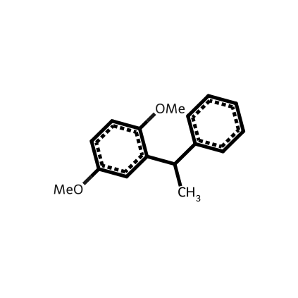 COc1ccc(OC)c(C(C)c2ccccc2)c1